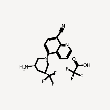 N#Cc1ccc(N2C[C@H](N)C[C@H](C(F)(F)F)C2)c2cccnc12.O=C(O)C(F)(F)F